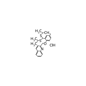 CC(C)SC(SC(C)C)c1ccccc1OCc1ccc2ccccc2n1.Cl